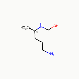 NCCC[C@H](NCO)C(=O)O